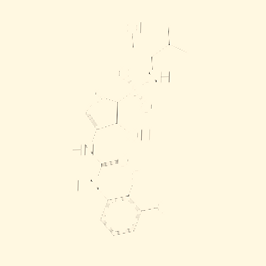 CC(C)[C@@H](CO)NS(=O)(=O)C1SC=C(NC(=O)Nc2cccc(Cl)c2Cl)C1O